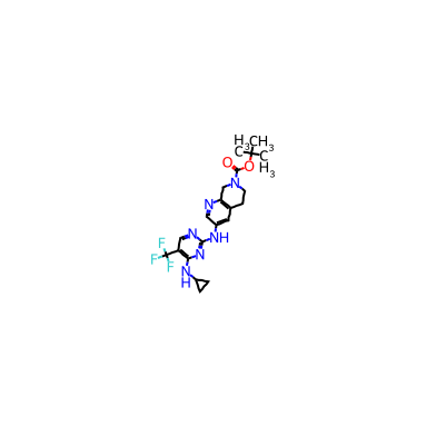 CC(C)(C)OC(=O)N1CCc2cc(Nc3ncc(C(F)(F)F)c(NC4CC4)n3)cnc2C1